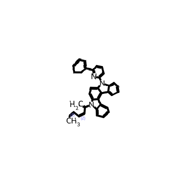 C=C(/C=C\C=C/C)n1c2ccccc2c2c3c4ccccc4n(-c4cccc(C5=CC=CCC5)n4)c3ccc21